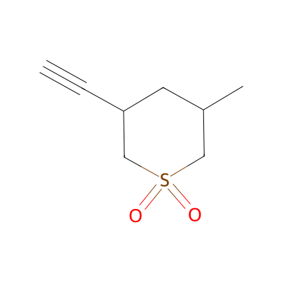 C#CC1CC(C)CS(=O)(=O)C1